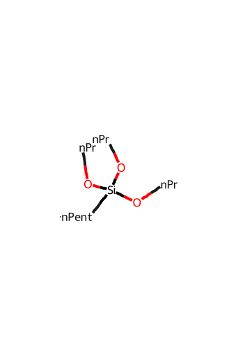 CCCC[CH][Si](OCCC)(OCCC)OCCC